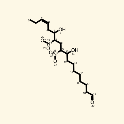 CC/C=C\CC(O)C(CC(C(O)CCCCCCCC=O)[N+](=O)[O-])[N+](=O)[O-]